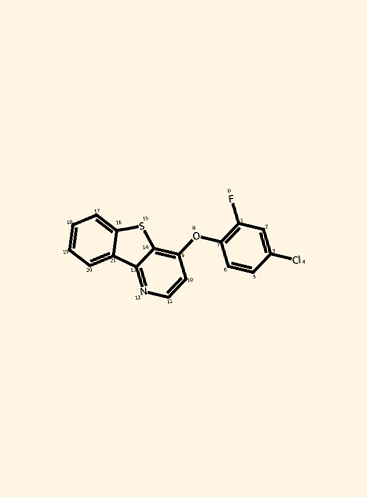 Fc1cc(Cl)ccc1Oc1ccnc2c1sc1ccccc12